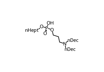 CCCCCCCCCCN(CCCCCCCCCC)CCCOP(=O)(O)OCCCCCCC